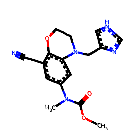 COC(=O)N(C)c1cc(C#N)c2c(c1)N(Cc1c[nH]cn1)CCO2